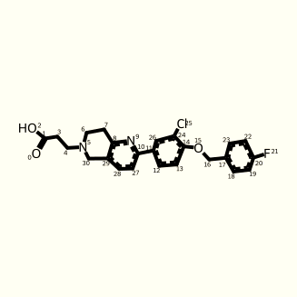 O=C(O)CCN1CCc2nc(-c3ccc(OCc4ccc(F)cc4)c(Cl)c3)ccc2C1